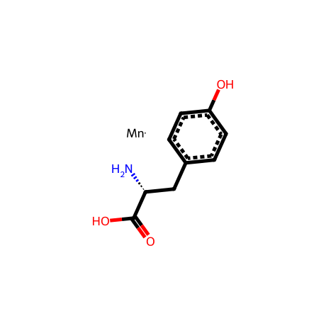 N[C@H](Cc1ccc(O)cc1)C(=O)O.[Mn]